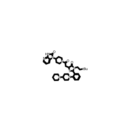 CC(C)(C)CCN1C(=O)C(CC(=O)N2CCC(n3c(=O)[nH]c4ncccc43)CC2)SC1c1ccccc1N1CCC(N2CCCCC2)CC1